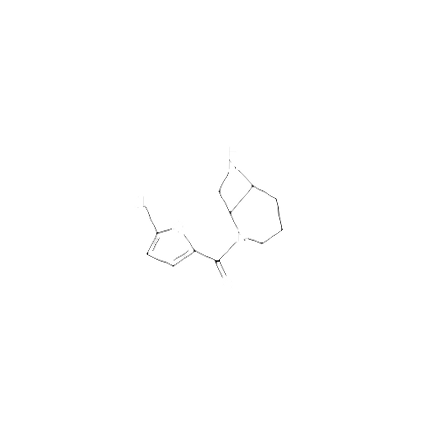 O=C(c1ccc(Cl)o1)N1CCCC2NCC21